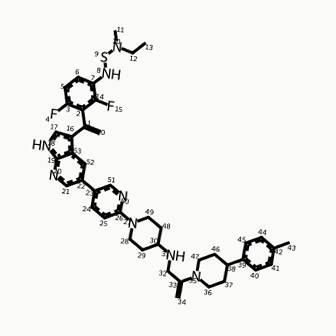 C=C(c1c(F)ccc(NSN(C)CC)c1F)c1c[nH]c2ncc(-c3ccc(N4CCC(NCC(=C)N5CCC(c6ccc(C)cc6)CC5)CC4)nc3)cc12